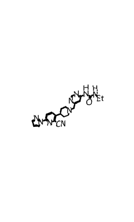 CCNC(=O)Nc1cc(CN2CCC(c3ccc(-n4cccn4)nc3C#N)CC2)ncn1